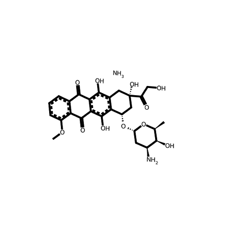 COc1cccc2c1C(=O)c1c(O)c3c(c(O)c1C2=O)C[C@@](O)(C(=O)CO)C[C@@H]3O[C@H]1C[C@H](N)[C@H](O)[C@H](C)O1.N